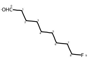 O=[C]CCCCCCCCF